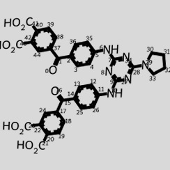 O=C(c1ccc(Nc2nc(Nc3ccc(C(=O)c4ccc(C(=O)O)c(C(=O)O)c4)cc3)nc(N3CCCC3)n2)cc1)c1ccc(C(=O)O)c(C(=O)O)c1